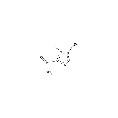 Cc1c(C(N)=O)ncn1C(C)C